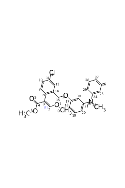 CO/C=C(/C(=O)OC)c1ccc(Cl)cc1COc1cccc(N(C)c2ccccc2)c1